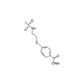 COC(=O)c1ccc(OCCNS(C)(=O)=O)cc1